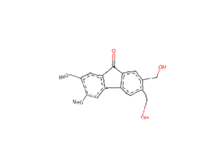 COc1cc2c(cc1OC)-c1cc(CO)c(CO)cc1C2=O